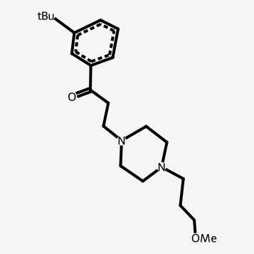 COCCCN1CCN(CCC(=O)c2cccc(C(C)(C)C)c2)CC1